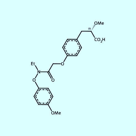 CCN(Oc1ccc(OC)cc1)C(=O)COc1ccc(C[C@H](OC)C(=O)O)cc1